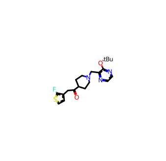 CC(C)(C)Oc1nccnc1CN1CCC(C(=O)Cc2ccsc2F)CC1